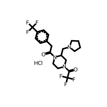 Cl.O=C(Cc1ccc(C(F)(F)F)cc1)N1CCN(C(=O)C(F)(F)F)CC1CN1CCCC1